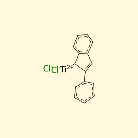 [Cl-].[Cl-].[Ti+2][CH]1C(c2ccccc2)=Cc2ccccc21